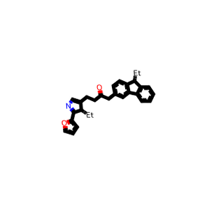 CCC1C(CCC(=O)Cc2ccc3c(c2)-c2ccccc2C3CC)=CN=C1c1ccco1